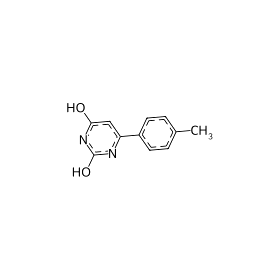 Cc1ccc(-c2cc(O)nc(O)n2)cc1